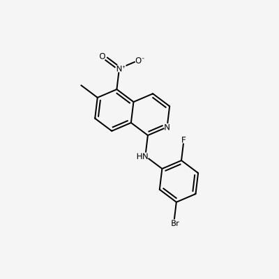 Cc1ccc2c(Nc3cc(Br)ccc3F)nccc2c1[N+](=O)[O-]